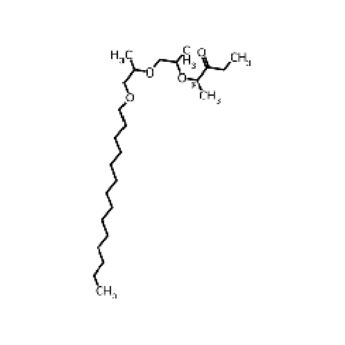 CCCCCCCCCCCCCCOCC(C)OCC(C)O[C@H](C)C(=O)CC